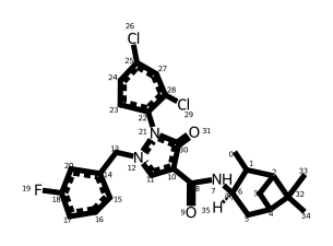 CC1C2CC(C[C@H]1NC(=O)c1cn(Cc3cccc(F)c3)n(-c3ccc(Cl)cc3Cl)c1=O)C2(C)C